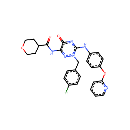 O=C(Nc1nn(Cc2ccc(Cl)cc2)c(Nc2ccc(Oc3ccccn3)cc2)nc1=O)C1CCOCC1